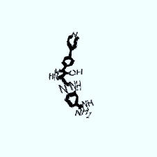 N=C(N)c1ccc2nc(-c3[nH]nc(-c4ccc(-c5ccncc5)cc4)c3O)[nH]c2c1